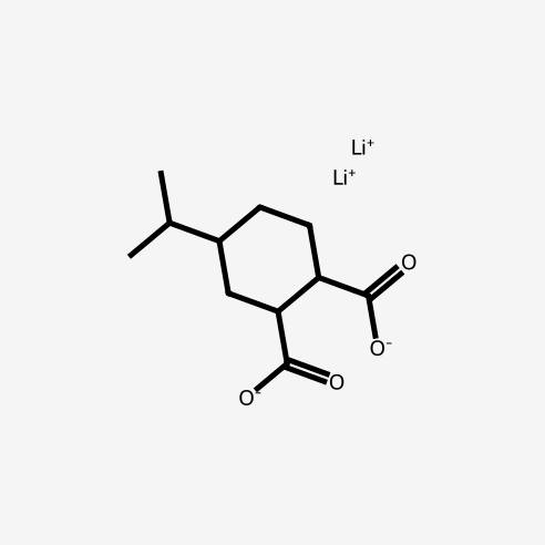 CC(C)C1CCC(C(=O)[O-])C(C(=O)[O-])C1.[Li+].[Li+]